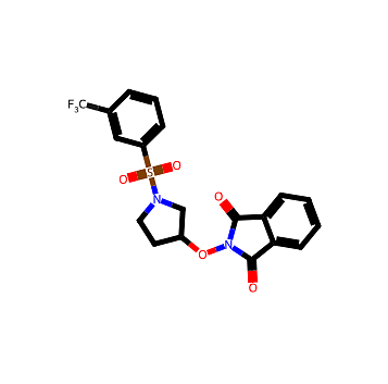 O=C1c2ccccc2C(=O)N1OC1CCN(S(=O)(=O)c2cccc(C(F)(F)F)c2)C1